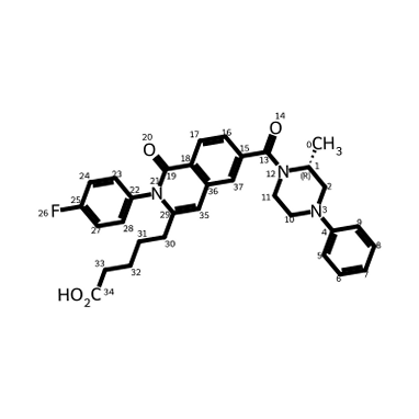 C[C@@H]1CN(c2ccccc2)CCN1C(=O)c1ccc2c(=O)n(-c3ccc(F)cc3)c(CCCCC(=O)O)cc2c1